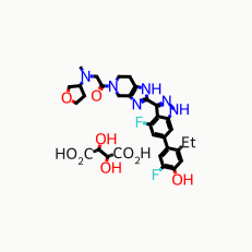 CCc1cc(O)c(F)cc1-c1cc(F)c2c(-c3nc4c([nH]3)CCN(C(=O)CN(C)C3CCOC3)C4)n[nH]c2c1.O=C(O)C(O)C(O)C(=O)O